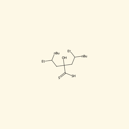 CCCCC(CC)CC(O)(CC(CC)CCCC)C(=S)S